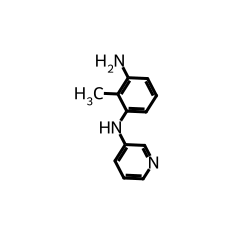 Cc1c(N)cccc1Nc1cccnc1